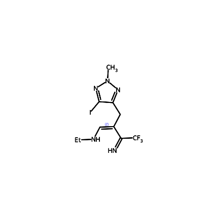 CCN/C=C(/Cc1nn(C)nc1I)C(=N)C(F)(F)F